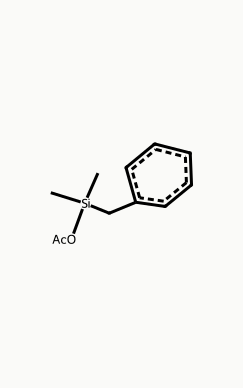 CC(=O)O[Si](C)(C)Cc1ccccc1